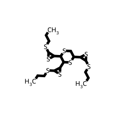 CCCSC1SC1C1CSC(C2SC2SCCC)C(C2SC2SCCC)S1